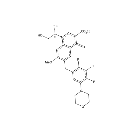 CCOC(=O)c1cn([C@H](CO)C(C)(C)C)c2cc(OC)c(Cc3cc(N4CCOCC4)c(F)c(Cl)c3F)cc2c1=O